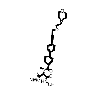 CNC(=O)C(C(=O)NO)N(C)C(=O)c1ccc(-c2ccc(C#CCOCCN3CCOCC3)cc2)cc1